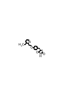 CCc1cccnc1CCOc1ccc(C[C@H]2SC(=O)NC2=O)cc1